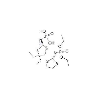 CCC1(CC)CS/C(=N\P(=O)(O)O)S1.CCOP(=O)(N=C1SCCS1)OCC